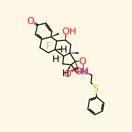 C[C@]12C=CC(=O)C=C1CC[C@H]1[C@@H]3C[C@H]4CN(CCSc5ccccc5)O[C@@]4(C(=O)O)[C@@]3(C)C[C@H](O)[C@@]12F